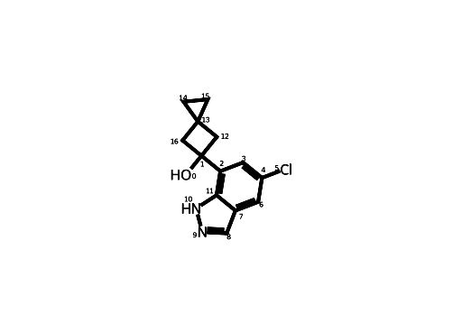 OC1(c2cc(Cl)cc3cn[nH]c23)CC2(CC2)C1